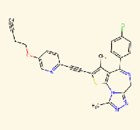 C#CCCOc1ccc(C#Cc2sc3c(c2C)C(c2ccc(Cl)cc2)=NCc2nnc(C)n2-3)nc1